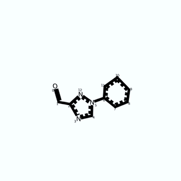 O=Cc1ncn(-c2ccccc2)n1